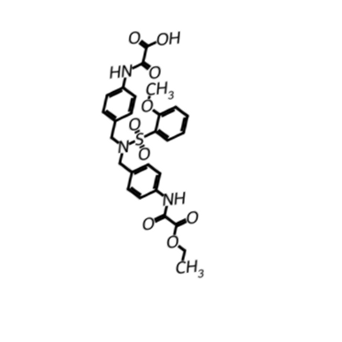 CCOC(=O)C(=O)Nc1ccc(CN(Cc2ccc(NC(=O)C(=O)O)cc2)S(=O)(=O)c2ccccc2OC)cc1